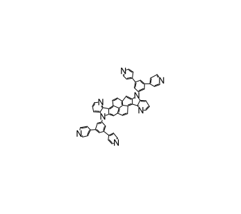 c1cnc2c3c4ccc5cc6c(c7ccc(cc3n(-c3cc(-c8ccncc8)cc(-c8ccncc8)c3)c2c1)c4c57)c1ncccc1n6-c1cc(-c2ccncc2)cc(-c2ccncc2)c1